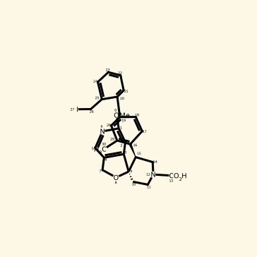 COc1cc2c(cn1)CO[C@@]21CCN(C(=O)O)C[C@@H]1c1ccc(-c2ccccc2CI)cc1C